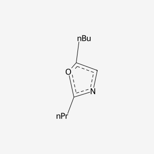 [CH2]CCc1ncc(CCCC)o1